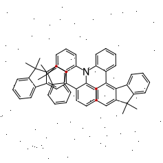 CC1(C)c2ccccc2-c2cc(-c3ccccc3N(c3ccccc3-c3cccc4c3-c3ccccc3C4(C)C)c3cccc4c3-c3ccccc3C4(C)C)ccc21